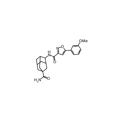 COc1cccc(-c2cc(C(=O)NC3C4CC5CC3CC(C(N)=O)(C5)C4)no2)c1